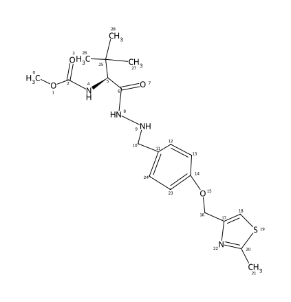 COC(=O)N[C@H](C(=O)NNCc1ccc(OCc2csc(C)n2)cc1)C(C)(C)C